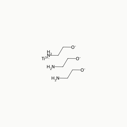 NCC[O-].NCC[O-].NCC[O-].[Ti+3]